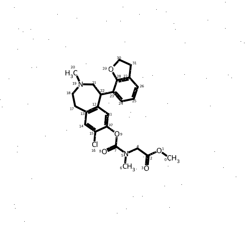 COC(=O)CN(C)C(=O)Oc1cc2c(cc1Cl)CCN(C)CC2c1cccc2c1OCC2